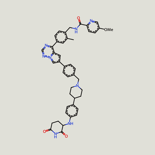 COc1ccc(C(=O)NCc2ccc(-c3ncnn4cc(-c5ccc(CN6CCC(c7ccc(NC8CCC(=O)NC8=O)cc7)CC6)cc5)cc34)cc2C)nc1